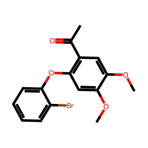 COc1cc(Oc2ccccc2Br)c(C(C)=O)cc1OC